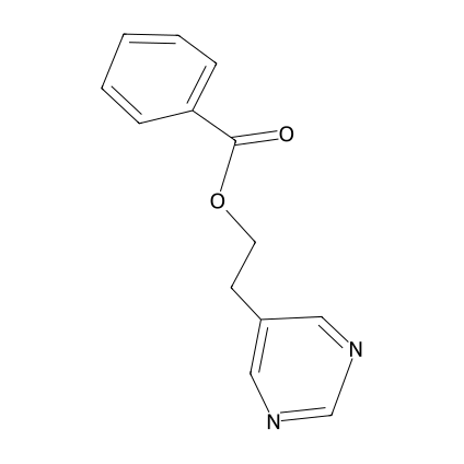 O=C(OCCc1cncnc1)c1ccccc1